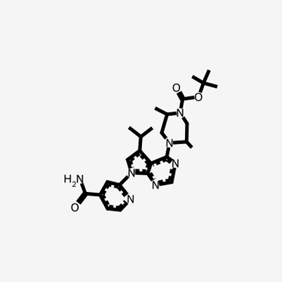 CC(C)c1cn(-c2cc(C(N)=O)ccn2)c2ncnc(N3CC(C)N(C(=O)OC(C)(C)C)CC3C)c12